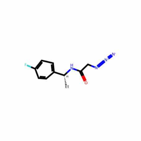 CC[C@@H](NC(=O)CN=[N+]=[N-])c1ccc(F)cc1